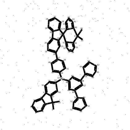 CC1(C)c2ccccc2-c2ccc(N(c3ccc(-c4ccc5c(c4)C4(c6ccccc6-5)c5ccccc5C(C)(C)c5ccccc54)cc3)c3cc(-c4ccccc4)cc(-c4ccccc4)c3)cc21